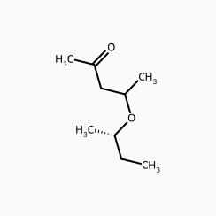 CC[C@H](C)OC(C)CC(C)=O